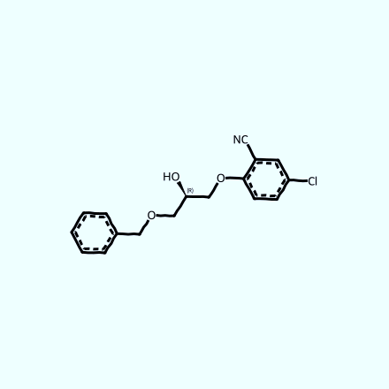 N#Cc1cc(Cl)ccc1OC[C@H](O)COCc1ccccc1